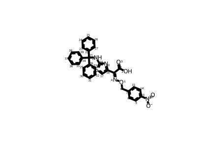 O=C(O)C(=NOCc1ccc([N+](=O)[O-])cc1)c1csc(NC(c2ccccc2)(c2ccccc2)c2ccccc2)n1